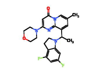 Cc1cc(C(C)N2CCc3c(F)cc(F)cc32)c2nc(N3CCOCC3)cc(=O)n2c1